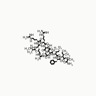 CC[C@H](C)[C@H](NC(=O)[C@H](Cc1ccccc1)NC(=O)[C@@H](NC(=O)[C@H](CC(=O)O)NC(=O)[C@H](C)NC(=O)[C@H](CO)NC(=O)[C@H](CCCNC(=N)N)NC(=O)[C@H](CCCNC(=N)N)NC(=O)[C@H](CCCNC(=N)N)NC(=O)[C@H](C)NC)[C@@H](C)CC)C(=O)N[C@@H](C)C(N)=O